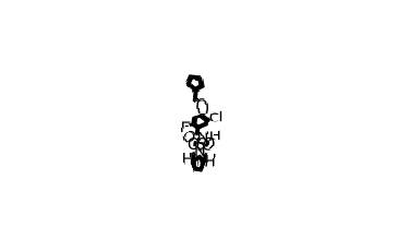 O=C(NS(=O)(=O)N1C[C@@H]2CC[C@@H](C2)C1)c1cc(Cl)c(OCC2CCCC2)cc1F